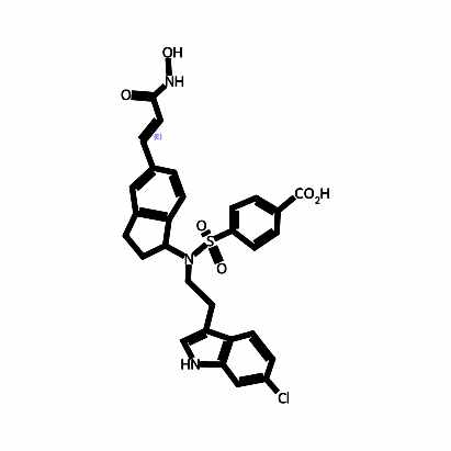 O=C(/C=C/c1ccc2c(c1)CCC2N(CCc1c[nH]c2cc(Cl)ccc12)S(=O)(=O)c1ccc(C(=O)O)cc1)NO